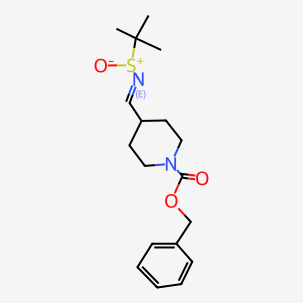 CC(C)(C)[S+]([O-])/N=C/C1CCN(C(=O)OCc2ccccc2)CC1